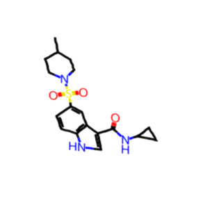 CC1CCN(S(=O)(=O)c2ccc3[nH]cc(C(=O)NC4CC4)c3c2)CC1